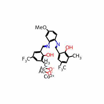 CC(=O)[O-].CC(=O)[O-].COc1ccc(N=Cc2cc(C(F)(F)F)cc(C)c2O)c(N=Cc2cc(C(F)(F)F)cc(C)c2O)c1.[Co+2]